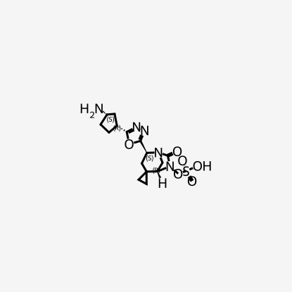 N[C@H]1CC[C@@H](c2nnc([C@@H]3CC4(CC4)[C@@H]4CN3C(=O)N4OS(=O)(=O)O)o2)C1